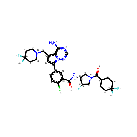 Nc1ncnn2c(-c3ccc(Cl)c(C(=O)N[C@@H]4CN(C(=O)C5CCC(F)(F)CC5)C[C@@H]4F)c3)cc(CN3CCC(F)(F)CC3)c12